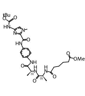 COC(=O)CCCCC(=O)N[C@@H](C)C(=O)N[C@@H](C)C(=O)Nc1ccc(NC(=O)c2nc(NC(=O)OC(C)(C)C)cn2C)cc1